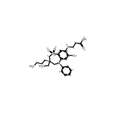 CCCC[C@]1(CC)CN(c2ccccc2)c2cc(Cl)c(OCCC(=O)O)cc2S(=O)(=O)C1